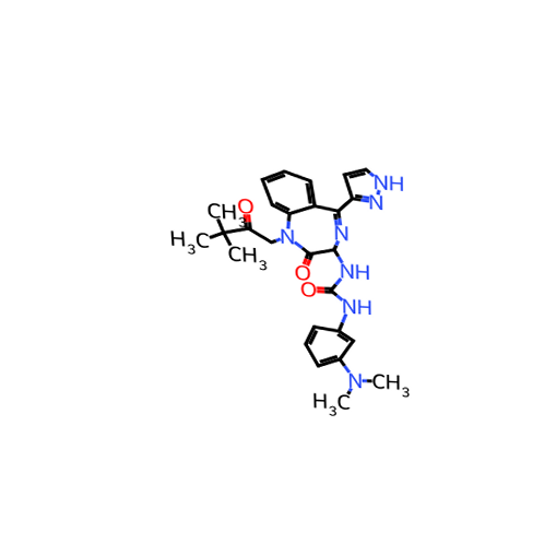 CN(C)c1cccc(NC(=O)NC2N=C(c3cc[nH]n3)c3ccccc3N(CC(=O)C(C)(C)C)C2=O)c1